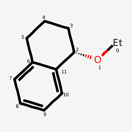 CCO[C@H]1CCCc2ccccc21